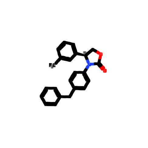 O=C1OC[C@H](c2cccc(C(F)(F)F)c2)N1c1ccc(Cc2ccccc2)cc1